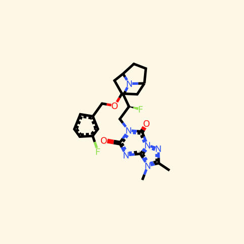 Cc1nn2c(=O)n(C[C@H](F)CN3C4CCC3CC(OCc3cccc(F)c3)C4)c(=O)nc2n1C